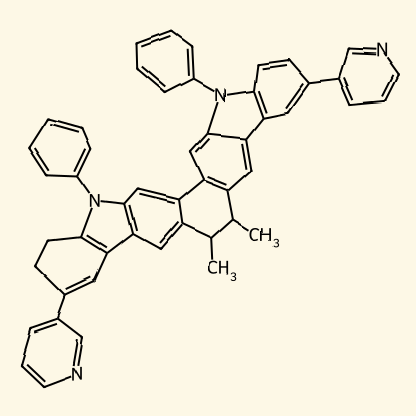 CC1c2cc3c4c(n(-c5ccccc5)c3cc2-c2cc3c(cc2C1C)c1cc(-c2cccnc2)ccc1n3-c1ccccc1)CCC(c1cccnc1)=C4